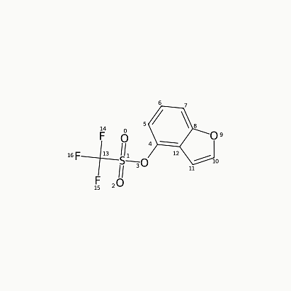 O=S(=O)(Oc1cccc2occc12)C(F)(F)F